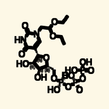 CCOC(Cn1cc([C@@H]2O[C@H](COP(=O)(O)OP(=O)(O)OP(=O)(O)O)[C@@H](O)[C@H]2O)c(=O)[nH]c1=O)OCC